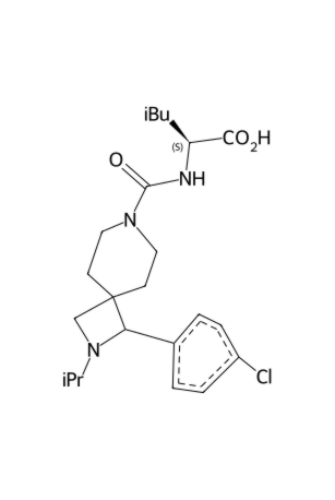 CCC(C)[C@H](NC(=O)N1CCC2(CC1)CN(C(C)C)C2c1ccc(Cl)cc1)C(=O)O